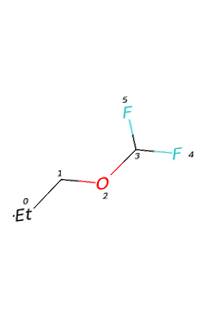 C[CH]COC(F)F